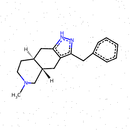 CN1CC[C@H]2Cc3[nH]nc(Cc4ccccc4)c3C[C@@H]2C1